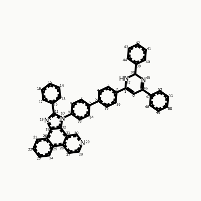 C1=C(c2ccc(-c3ccc(-n4c(-c5ccccc5)nc5c6ccccc6c6ccncc6c54)cc3)cc2)NC(c2ccccc2)N=C1c1ccccc1